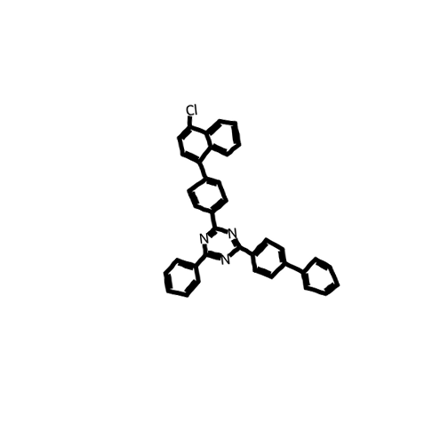 Clc1ccc(-c2ccc(-c3nc(-c4ccccc4)nc(-c4ccc(-c5ccccc5)cc4)n3)cc2)c2ccccc12